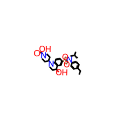 CCc1ccc(N(CC(C)C)S(=O)(=O)c2ccc3c(c2)C(O)CCN3C2CCN(C(=O)O)CC2)cc1